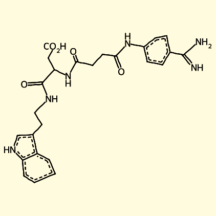 N=C(N)c1ccc(NC(=O)CCC(=O)NC(CC(=O)O)C(=O)NCCc2c[nH]c3ccccc23)cc1